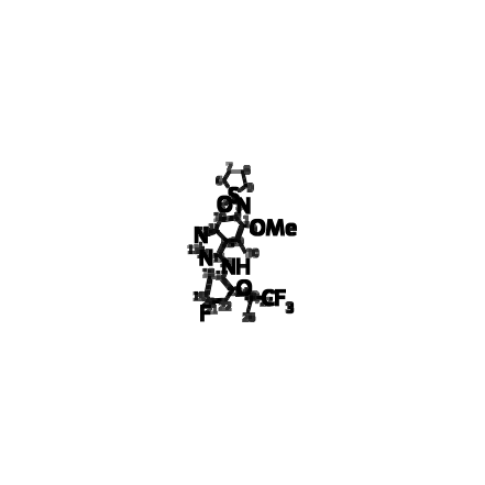 COc1c(N=S2(=O)CCCC2)cc2ncnc(Nc3ccc(F)cc3O[C@H](C)C(F)(F)F)c2c1C